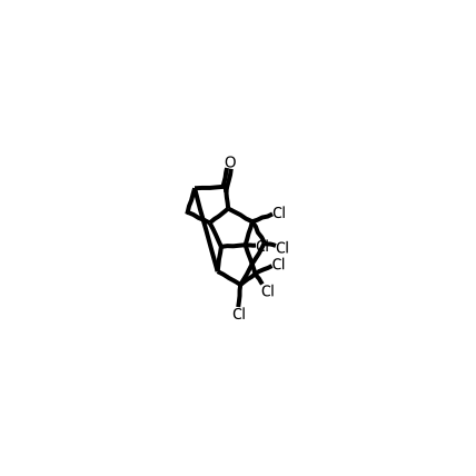 O=C1C2CC3C1C1(Cl)C(Cl)C4(Cl)C2C3C1(Cl)C4(Cl)Cl